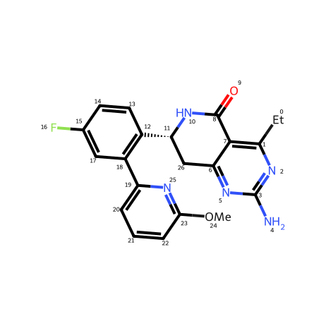 CCc1nc(N)nc2c1C(=O)N[C@@H](c1ccc(F)cc1-c1cccc(OC)n1)C2